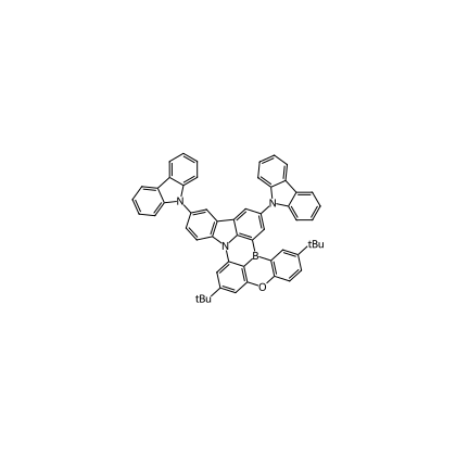 CC(C)(C)c1ccc2c(c1)B1c3c(cc(C(C)(C)C)cc3-n3c4ccc(-n5c6ccccc6c6ccccc65)cc4c4cc(-n5c6ccccc6c6ccccc65)cc1c43)O2